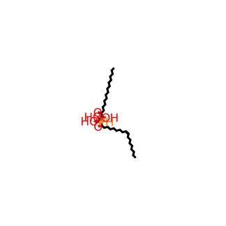 CCCCCCCC/C=C\CCCCCCCC(=O)PC(O)(CO)C(O)C(=O)CCCCCCCCCCCCCCC